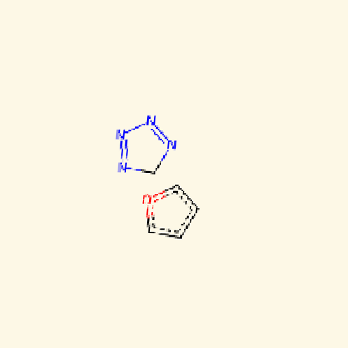 C1N=NN=N1.c1ccoc1